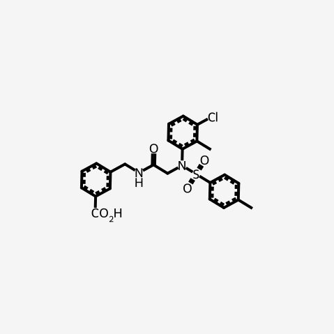 Cc1ccc(S(=O)(=O)N(CC(=O)NCc2cccc(C(=O)O)c2)c2cccc(Cl)c2C)cc1